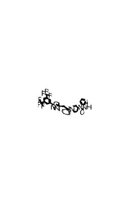 O=C(Cc1nnc(-c2cc(C(F)(F)F)cc(C(F)(F)F)c2)o1)N1CCC(n2c(=O)[nH]c3ncccc32)CC1